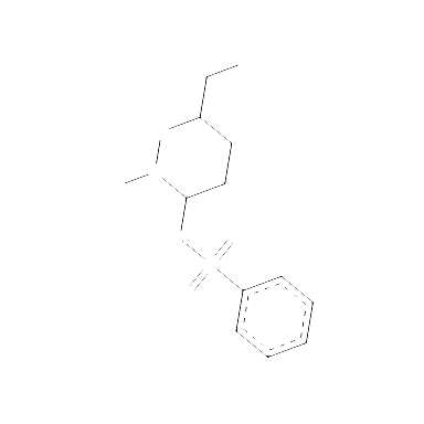 O=C(O)CC1CCC(NS(=O)(=O)c2ccccc2)B(O)O1